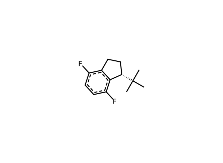 CC(C)(C)[C@H]1CCc2c(F)ccc(F)c21